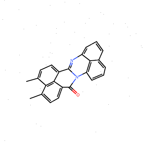 Cc1ccc2c(=O)n3c4cccc5cccc(nc3c3ccc(C)c1c23)c54